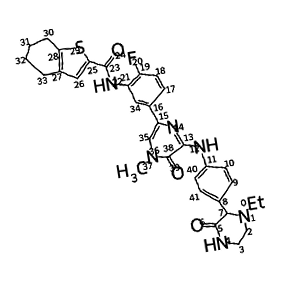 CCN1CCNC(=O)C1c1ccc(Nc2nc(-c3ccc(F)c(NC(=O)c4cc5c(s4)CCCC5)c3)cn(C)c2=O)cc1